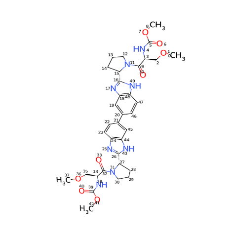 COC[C@H](NC(=O)OC)C(=O)N1CCC[C@H]1c1nc2cc(-c3ccc4nc([C@@H]5CCCN5C(=O)[C@H](COC)NC(=O)OC)[nH]c4c3)ccc2[nH]1